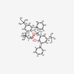 CC(C)[CH2][Al]([O]c1c(-c2ccccc2)cc(C(C)(C)C)cc1C(C)(C)C)[O]c1c(-c2ccccc2)cc(C(C)(C)C)cc1C(C)(C)C